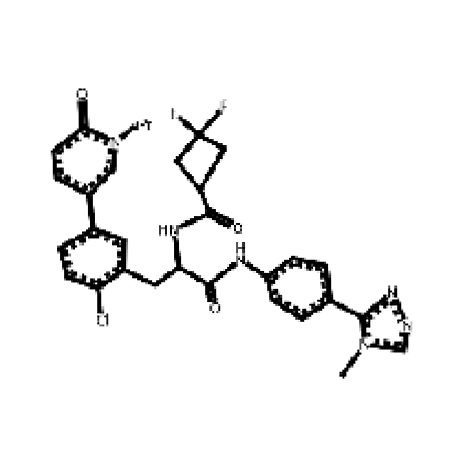 CC(C)n1cc(-c2ccc(Cl)c(CC(NC(=O)C3CC(F)(F)C3)C(=O)Nc3ccc(-c4nncn4C)cc3)c2)ccc1=O